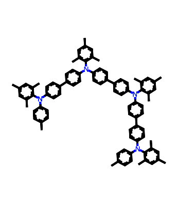 Cc1ccc(N(c2ccc(-c3ccc(N(c4ccc(-c5ccc(N(c6ccc(-c7ccc(N(c8ccc(C)cc8)c8c(C)cc(C)cc8C)cc7)cc6)c6c(C)cc(C)cc6C)cc5)cc4)c4c(C)cc(C)cc4C)cc3)cc2)c2c(C)cc(C)cc2C)cc1